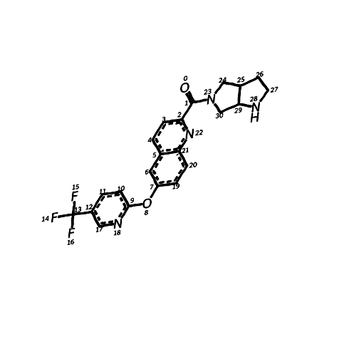 O=C(c1ccc2cc(Oc3ccc(C(F)(F)F)cn3)ccc2n1)N1CC2CCNC2C1